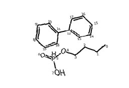 CCCCO[PH](=O)O.c1ccc(-c2ccccc2)cc1